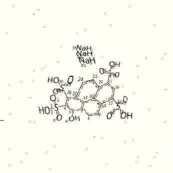 O=S(=O)(O)c1c(O)c2ccc3c(S(=O)(=O)O)cc(S(=O)(=O)O)c4ccc(c1S(=O)(=O)O)c2c34.[NaH].[NaH].[NaH]